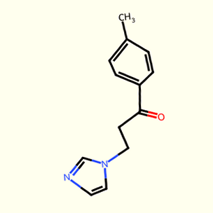 Cc1ccc(C(=O)CCn2ccnc2)cc1